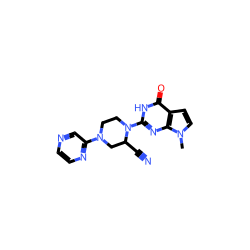 Cn1ccc2c(=O)[nH]c(N3CCN(c4cnccn4)CC3C#N)nc21